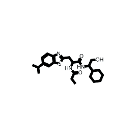 CCC(=O)NC(Cc1nc2ccc(C(C)C)cc2s1)C(=O)NC(CO)C1CCCCC1